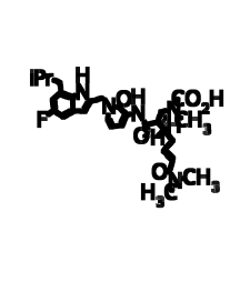 [2H]C([2H])(C/C=C/C(=O)N(C)C)C(CN(C)C(=O)O)C(=O)Nc1cccn(Cc2cc3cc(F)cc(CC(C)C)c3[nH]2)c1=O